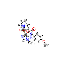 CC(C)Oc1ccc(NC(=O)C2CCC3CCC2N3S(=O)(=O)c2cn(C)cn2)cc1